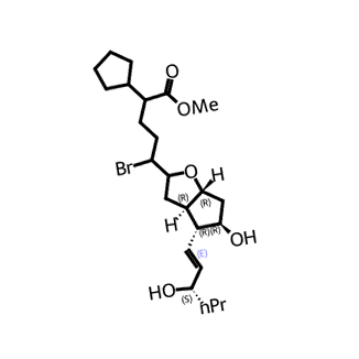 CCC[C@H](O)/C=C/[C@@H]1[C@H]2CC(C(Br)CCC(C(=O)OC)C3CCCC3)O[C@@H]2C[C@H]1O